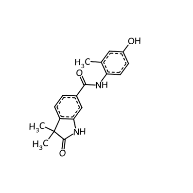 Cc1cc(O)ccc1NC(=O)c1ccc2c(c1)NC(=O)C2(C)C